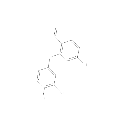 O=Cc1ccc(Cl)cc1Oc1ccc(Cl)c(Cl)c1